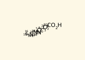 O=C(O)c1ccc(-c2ccc(N3CCN(CC4CC4)CC3)nc2)cc1